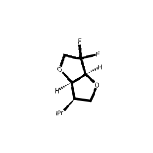 CC(C)[C@@H]1CO[C@H]2[C@@H]1OCC2(F)F